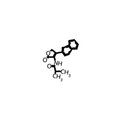 CC(C)C(=O)NC1=C(c2ccc3ccccc3c2)COC1=O